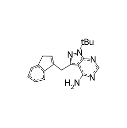 CC(C)(C)n1nc(CC2=CCc3ccccc32)c2c(N)ncnc21